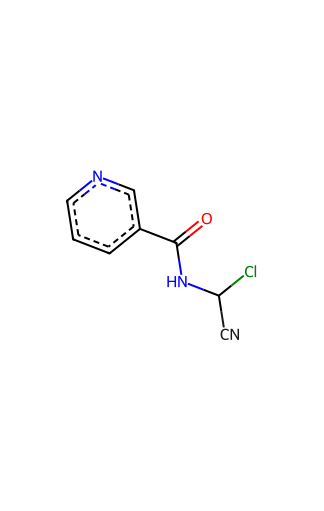 N#CC(Cl)NC(=O)c1cccnc1